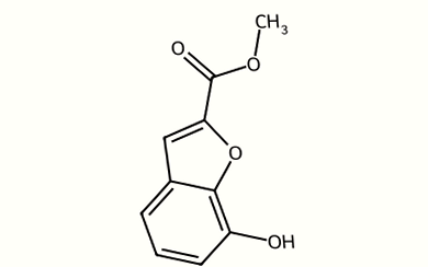 COC(=O)c1cc2cccc(O)c2o1